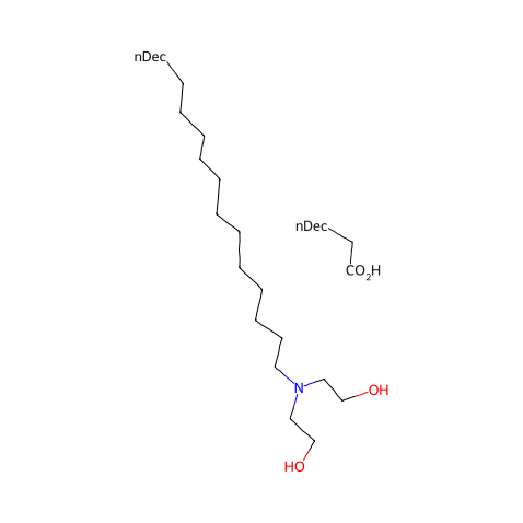 CCCCCCCCCCCC(=O)O.CCCCCCCCCCCCCCCCCCCCCCN(CCO)CCO